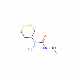 BN(C(=O)NBC)C1CCSSC1